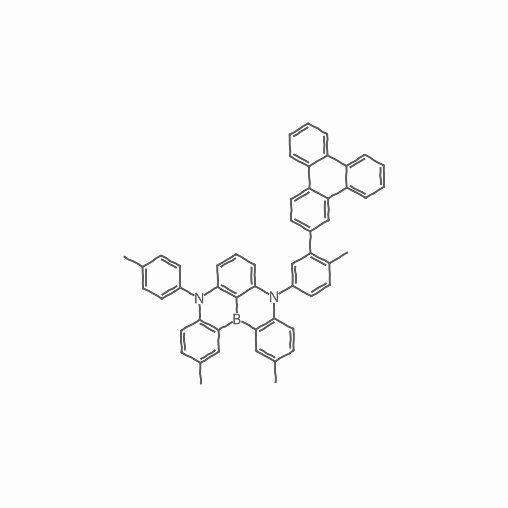 Cc1ccc(N2c3ccc(C)cc3B3c4cc(C)ccc4N(c4ccc(C)c(-c5ccc6c7ccccc7c7ccccc7c6c5)c4)c4cccc2c43)cc1